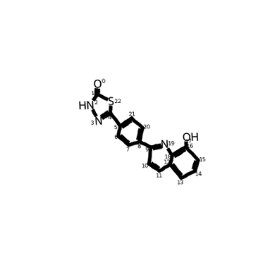 O=c1[nH]nc(-c2ccc(-c3ccc4cccc(O)c4n3)cc2)s1